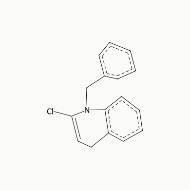 ClC1=CCc2ccccc2N1Cc1ccccc1